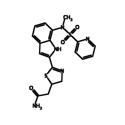 CN(c1cccc2cc(C3=NCC(CC(N)=O)S3)[nH]c12)S(=O)(=O)c1ccccn1